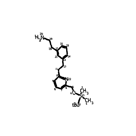 CC(C)(C)[Si](C)(C)OCc1cccc(CCc2cccc(CCN)c2)n1